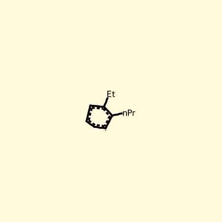 CCCc1[c]cccc1CC